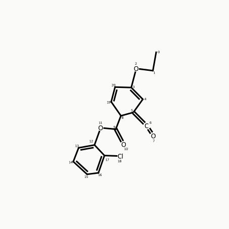 CCOC1=CC(=C=O)C(C(=O)Oc2ccccc2Cl)C=C1